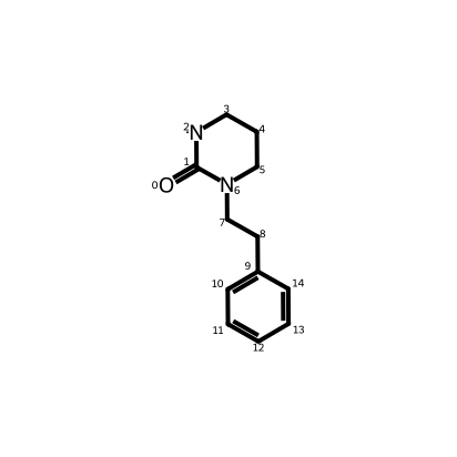 O=C1[N]CCCN1CCc1ccccc1